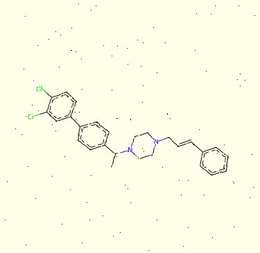 CC(c1ccc(-c2ccc(Cl)c(Cl)c2)cc1)N1CCN(CC=Cc2ccccc2)CC1